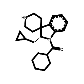 O=C(C1CCCCC1)N1c2ccccc2C2(CCNCC2)[C@H]1CC1CC1